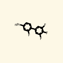 CCCc1ccc(-c2cc(F)c(F)c(F)c2)c(F)c1